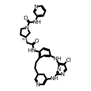 O=C(C[C@H]1CCN(C(=O)Nc2cccnc2)C1)Nc1ccc2cc1CCC1C=NC=C(C1)Nc1ncc(Cl)c(n1)N2